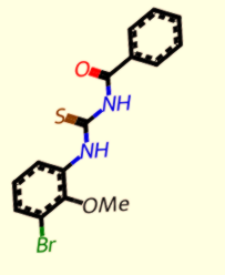 COc1c(Br)cccc1NC(=S)NC(=O)c1ccccc1